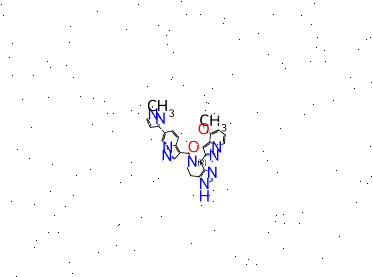 COc1cccn2nc([C@H]3c4nc[nH]c4CCN3C(=O)c3cnn4cc(-c5ccn(C)n5)ccc34)cc12